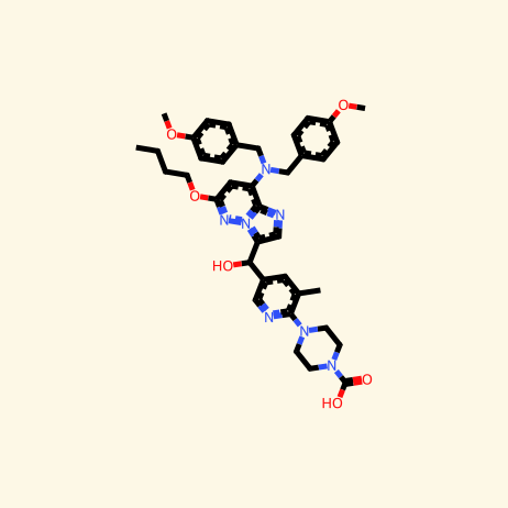 CCCCOc1cc(N(Cc2ccc(OC)cc2)Cc2ccc(OC)cc2)c2ncc(C(O)c3cnc(N4CCN(C(=O)O)CC4)c(C)c3)n2n1